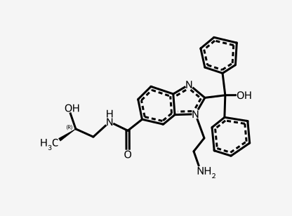 C[C@@H](O)CNC(=O)c1ccc2nc(C(O)(c3ccccc3)c3ccccc3)n(CCN)c2c1